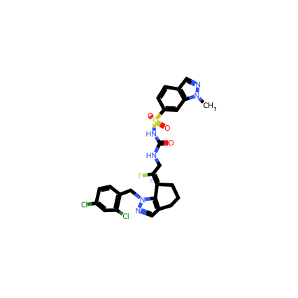 Cn1ncc2ccc(S(=O)(=O)NC(=O)NC/C(F)=C3\CCCc4cnn(Cc5ccc(Cl)cc5Cl)c43)cc21